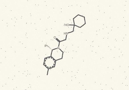 Cc1ccc2c(c1)CCN(C(=O)CNCC1(O)CCCCC1)[C@H]2C(C)C